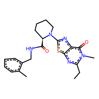 CCc1nc2sc(N3CCCC[C@@H]3C(=O)NCc3ccccc3C)nc2c(=O)n1C